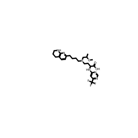 COC(C)CN(CCCCc1ccc2c(n1)NCCC2)CCC(Nc1cc(C(F)(F)F)ncn1)C(=O)O